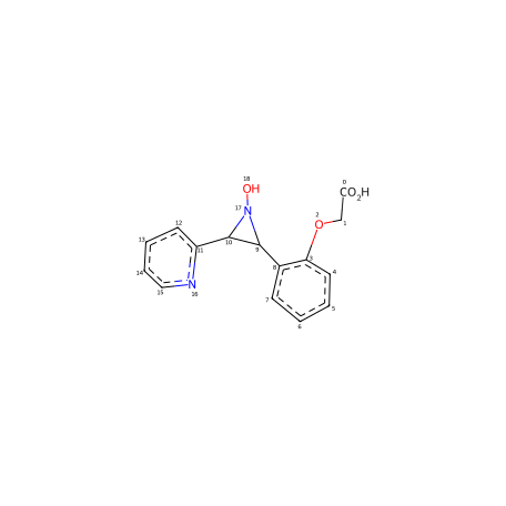 O=C(O)COc1ccccc1C1C(c2ccccn2)N1O